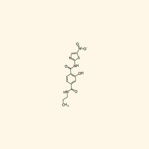 CCCNC(=O)c1ccc(C(=O)Nc2ncc([N+](=O)[O-])s2)c(O)c1